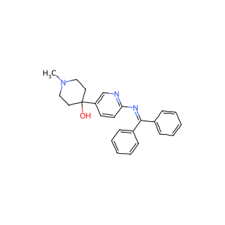 CN1CCC(O)(c2ccc(N=C(c3ccccc3)c3ccccc3)nc2)CC1